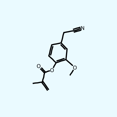 C=C(C)C(=O)Oc1ccc(CC#N)cc1OC